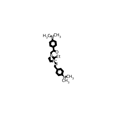 CCc1n(CC(=O)c2ccc(N(C)C)cc2)cc[n+]1/N=C/c1ccc(N(C)C)cc1